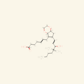 CCCCC(C)(C)C(O)C=CC1CC2OCCOC2C1CC=CCCCC(=O)O